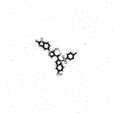 Cc1ccc(S(=O)(=O)n2c(C(=O)c3cnn(-c4ccc5[nH]c(C)nc5c4)c3N)cc3cc(C=O)ccc32)cc1